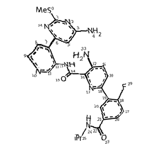 CSc1nc(N)cc(-c2ccncc2NC(=O)c2nc(-c3cc(C(=O)NC(C)C)ccc3F)ccc2N)n1